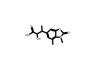 Cc1cc(C(C)C(O)C(=O)O)cc2oc(=O)n(C)c12